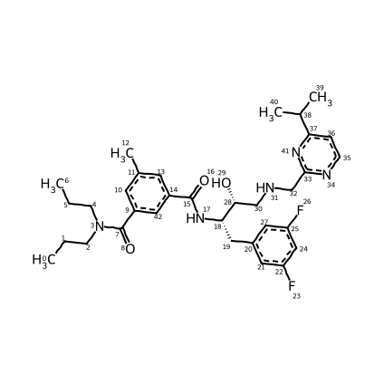 CCCN(CCC)C(=O)c1cc(C)cc(C(=O)N[C@@H](Cc2cc(F)cc(F)c2)[C@H](O)CNCc2nccc(C(C)C)n2)c1